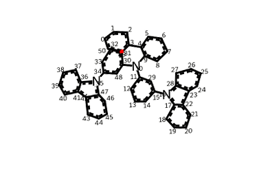 c1ccc(-c2ccccc2N(c2cccc(-n3c4ccccc4c4ccccc43)c2)c2cccc(-n3c4ccccc4c4ccccc43)c2)cc1